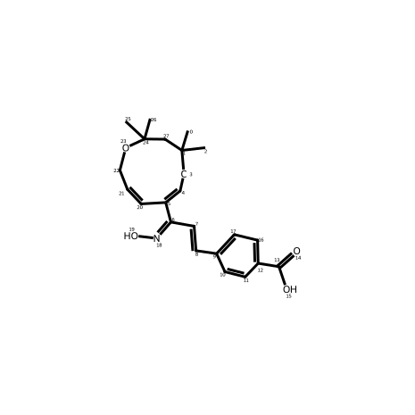 CC1(C)C/C=C(C(/C=C/c2ccc(C(=O)O)cc2)=N\O)\C=C/COC(C)(C)C1